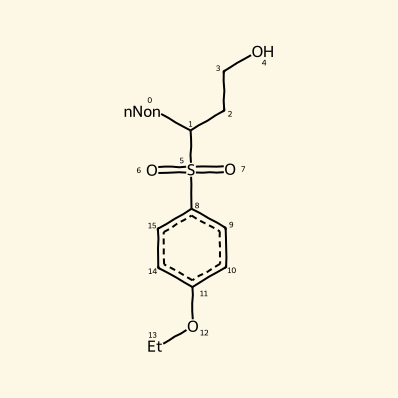 CCCCCCCCCC(CCO)S(=O)(=O)c1ccc(OCC)cc1